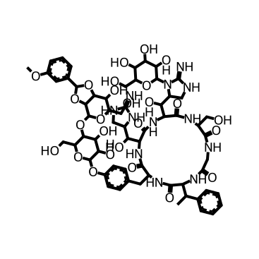 COc1cccc(C2OC3C(OC4C(CO)OC(Oc5ccc(CC6NC(=O)C(C(C)c7ccccc7)NC(=O)CNC(=O)C(CO)NC(=O)C(C(O)C7CNC(=N)N7C7OC(CO)C(O)C(O)C7O)NC(=O)C(C(O)C7CNC(=N)N7)NC6=O)cc5)C(O)C4O)OC(CO)C(O)C3O2)c1